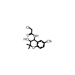 CC1(C)Oc2ccc(C#N)cc2C(NC(=O)CCl)C1O